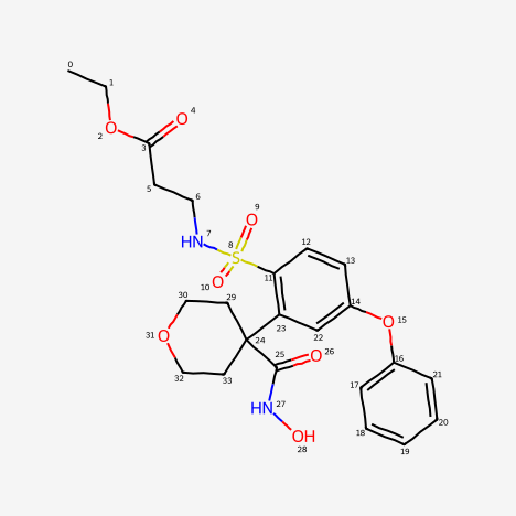 CCOC(=O)CCNS(=O)(=O)c1ccc(Oc2ccccc2)cc1C1(C(=O)NO)CCOCC1